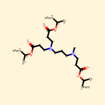 CCCCCC(CC)OC(=O)CCN(C)CCCN(CCC(=O)OC(CC)CCCCC)CCC(=O)OC(CC)CCCCC